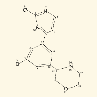 Clc1cc(-c2ccnc(Cl)n2)cc(C2COCCN2)c1